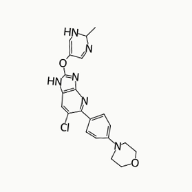 CC1N=CC(Oc2nc3nc(-c4ccc(N5CCOCC5)cc4)c(Cl)cc3[nH]2)=CN1